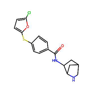 O=C(NC1CC2CNC1C2)c1ccc(Sc2ccc(Cl)o2)cc1